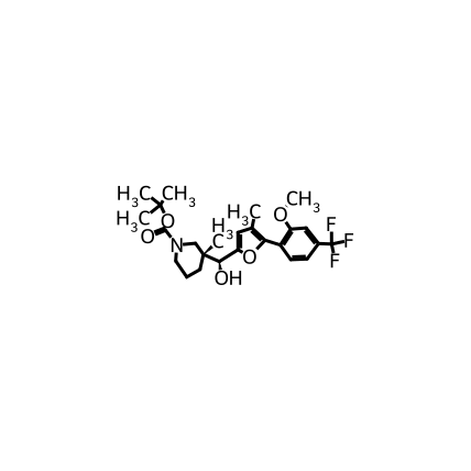 COc1cc(C(F)(F)F)ccc1-c1oc([C@@H](O)[C@]2(C)CCCN(C(=O)OC(C)(C)C)C2)cc1C